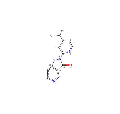 CC(C)c1ccnc(N2Cc3ccncc3C2=O)c1